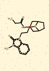 CCC(=O)NC1CC2CCC(C1)N2CCCn1c(=O)n(C)c2ccccc21